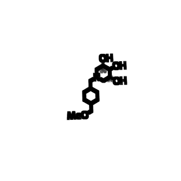 COCC1CCC(CN2C[C@@H](O)C(O)[C@@H](O)C2)CC1